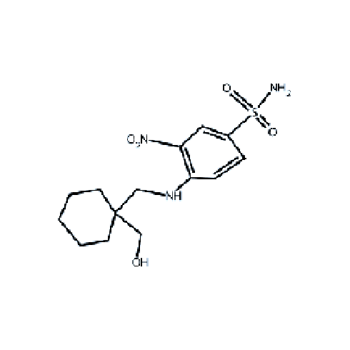 NS(=O)(=O)c1ccc(NCC2(CO)CCCCC2)c([N+](=O)[O-])c1